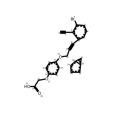 C#Cc1c(Br)cccc1C#CCOc1ccc(OCC(=O)O)cc1.c1cc2cc-2c1